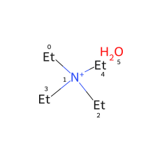 CC[N+](CC)(CC)CC.O